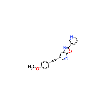 COc1ccc(C#Cc2cnc3oc(-c4cccnc4)nc3c2)cc1